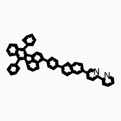 c1ccc(-c2c3c(c(-c4ccccc4)c4ccccc24)-c2ccc(-c4ccc(-c5ccc6cc(-c7ccc(-c8ccccn8)nc7)ccc6c5)cc4)c4cccc-3c24)cc1